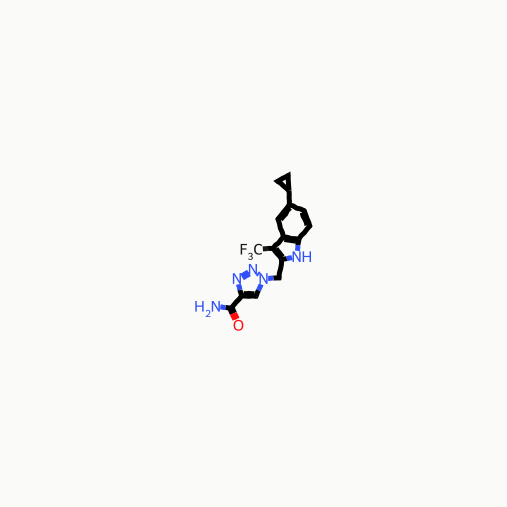 NC(=O)c1cn(Cc2[nH]c3ccc(C4CC4)cc3c2C(F)(F)F)nn1